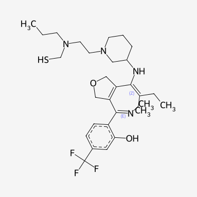 CCCN(CS)CCN1CCCC(N/C(C2=C(/C(=N\C)c3ccc(C(F)(F)F)cc3O)COC2)=C(/C)CC)C1